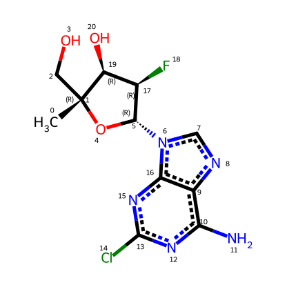 C[C@]1(CO)O[C@@H](n2cnc3c(N)nc(Cl)nc32)[C@H](F)[C@@H]1O